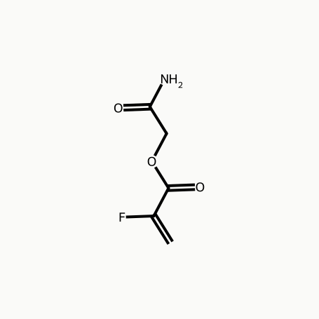 C=C(F)C(=O)OCC(N)=O